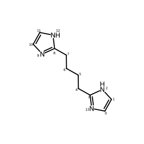 c1c[nH]c(CCCCc2ncc[nH]2)n1